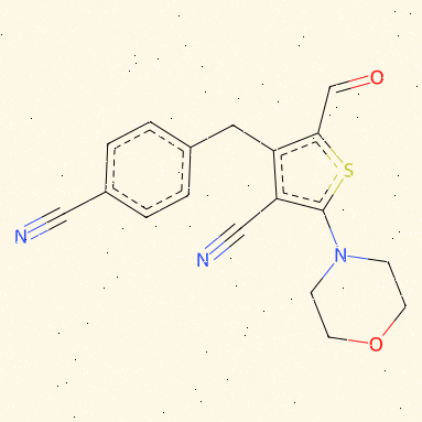 N#Cc1ccc(Cc2c(C=O)sc(N3CCOCC3)c2C#N)cc1